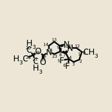 C[C@@H]1CCC(F)(F)c2c3c(nn2C1)CCN(C(=O)OC(C)(C)C)C3